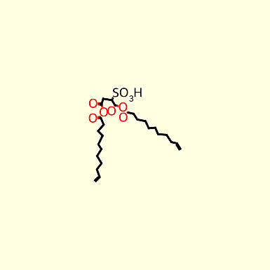 C=CCCCCCCCCC(=O)OC(=O)CC(C(=O)OC(=O)CCCCCCCCC=C)S(=O)(=O)O